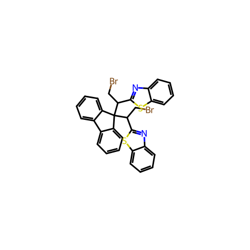 BrCC(c1nc2ccccc2s1)C1(C(CBr)c2nc3ccccc3s2)c2ccccc2-c2ccccc21